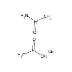 CC(=O)O.NC(N)=O.[Cu]